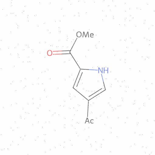 COC(=O)c1cc(C(C)=O)c[nH]1